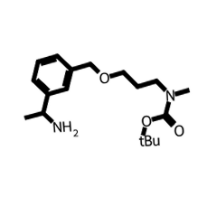 CC(N)c1cccc(COCCCN(C)C(=O)OC(C)(C)C)c1